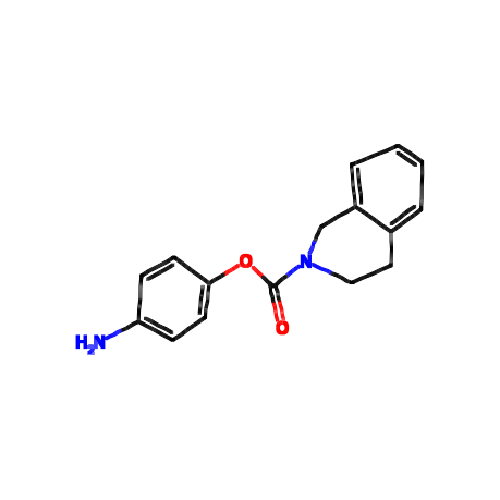 Nc1ccc(OC(=O)N2CCc3ccccc3C2)cc1